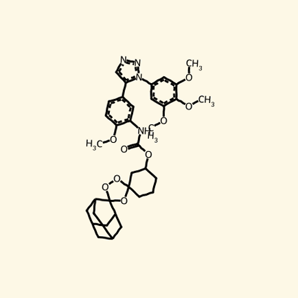 COc1ccc(-c2cnnn2-c2cc(OC)c(OC)c(OC)c2)cc1NC(=O)OC1CCCC2(C1)OOC1(O2)C2CC3CC(C2)CC1C3